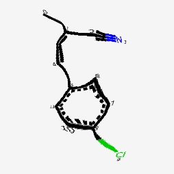 CC(C#N)=Cc1ccc(Cl)cc1